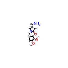 COc1ccc(CN2CC(CN)CC2=O)cc1OC